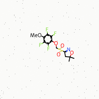 COc1c(F)c(F)c(OCS(=O)(=O)C2=NOC(C)(C)C2)c(F)c1F